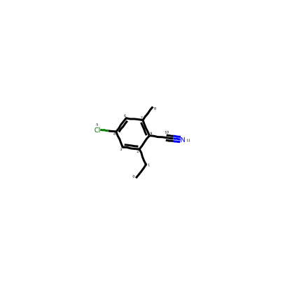 CCc1cc(Cl)cc(C)c1C#N